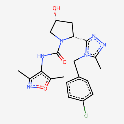 Cc1noc(C)c1NC(=O)N1C[C@H](O)C[C@@H]1c1nnc(C)n1Cc1ccc(Cl)cc1